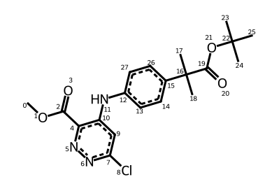 COC(=O)c1nnc(Cl)cc1Nc1ccc(C(C)(C)C(=O)OC(C)(C)C)cc1